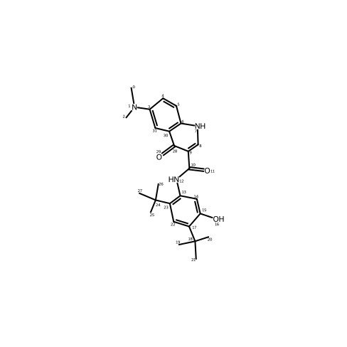 CN(C)c1ccc2[nH]cc(C(=O)Nc3cc(O)c(C(C)(C)C)cc3C(C)(C)C)c(=O)c2c1